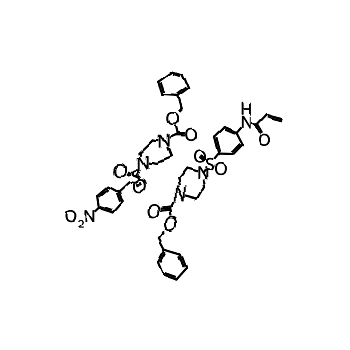 C=CC(=O)Nc1ccc(S(=O)(=O)N2CCN(C(=O)OCc3ccccc3)CC2)cc1.O=C(OCc1ccccc1)N1CCN(S(=O)(=O)c2ccc([N+](=O)[O-])cc2)CC1